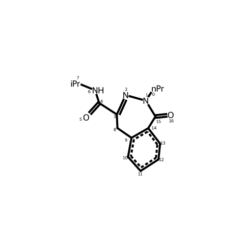 CCCN1N=C(C(=O)NC(C)C)Cc2ccccc2C1=O